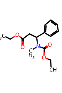 CCOC(=O)CC(c1ccccc1)N(C)C(=O)OCC